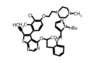 C#Cc1sc2ncnc(OC(Cc3ccccc3OCc3ccnn3CCCC)C(=O)O)c2c1-c1ccc(OCCN2CCN(C)CC2)c(Cl)c1C